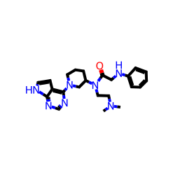 CN(C)CCN(C(=O)CNc1ccccc1)C1CCCN(c2ncnc3[nH]ccc23)C1